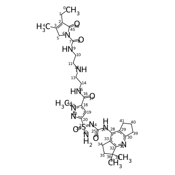 CCC1=C(C)CN(C(=O)NCCNCCNC(=O)c2cc(S(N)(=O)=NC(=O)Nc3c4c(nc5c3CCC5(C)C)CCC4)nn2C)C1=O